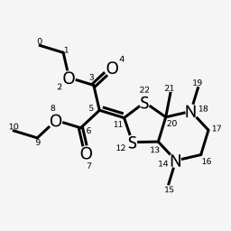 CCOC(=O)C(C(=O)OCC)=C1SC2N(C)CCN(C)C2(C)S1